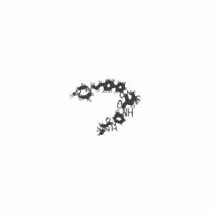 Cc1nc(C(=O)N[C@H]2CC[C@H](NC(=O)c3cc(F)cnc3Oc3cccc(-c4ccc(CCCN5CCCN(C)CC5)cc4)c3)CC2)cs1